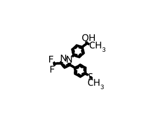 CSc1ccc(-c2cc(C(F)F)nn2-c2ccc(C(C)O)cc2)cc1